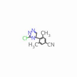 Cc1cc(C#N)cc(C)c1-c1cnnc(Cl)n1